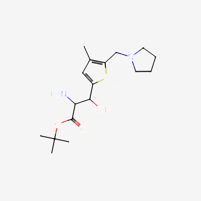 Cc1cc(C(O)C(N)C(=O)OC(C)(C)C)sc1CN1CCCC1